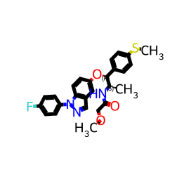 COCC(=O)N[C@@H](C)[C@H](Oc1ccc2c(cnn2-c2ccc(F)cc2)c1)c1ccc(SC)cc1